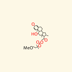 COCCC(C)(C)OC(=O)OCC(=O)C1[C@H](C)CC2C3CCC4=CC(=O)C=CC4(C)C3C(O)CC21C